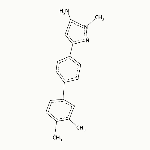 Cc1ccc(-c2ccc(-c3cc(N)n(C)n3)cc2)cc1C